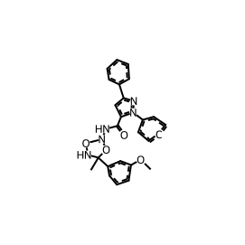 COc1cccc(C2(C)NON(NC(=O)c3cc(-c4ccccc4)nn3-c3ccccc3)O2)c1